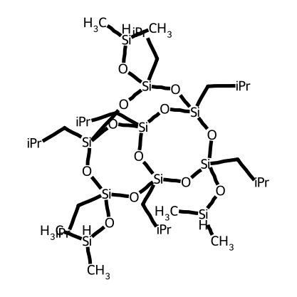 CC(C)C[Si]1(O[SiH](C)C)O[Si]2(CC(C)C)O[Si](CC(C)C)(O[SiH](C)C)O[Si]3(CC(C)C)O[Si](CC(C)C)(O[SiH](C)C)O[Si](CC(C)C)(O1)O[Si](CC(C)C)(O2)O3